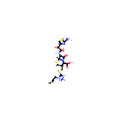 C#CCn1nnnc1SCC1=C(C(=O)O)N2C(=O)C(NC(=O)C(=O)c3csc(N)n3)[C@@H]2SC1